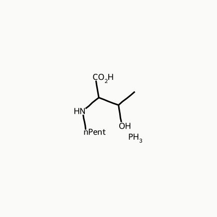 CCCCCNC(C(=O)O)C(C)O.P